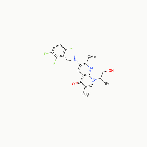 COc1nc2c(cc1NCc1c(F)ccc(F)c1F)c(=O)c(C(=O)O)cn2C(CO)C(C)C